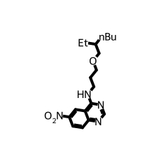 CCCCC(CC)COCCCNc1ncnc2ccc([N+](=O)[O-])cc12